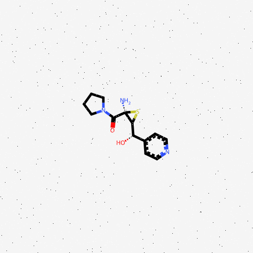 N[C@]1(C(=O)N2CCCC2)SC1[C@@H](O)c1ccncc1